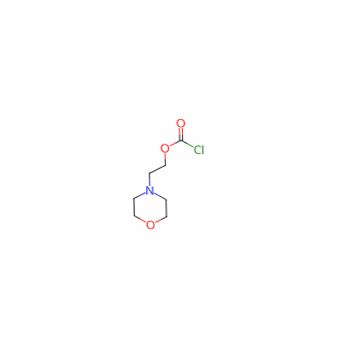 O=C(Cl)OCCN1CCOCC1